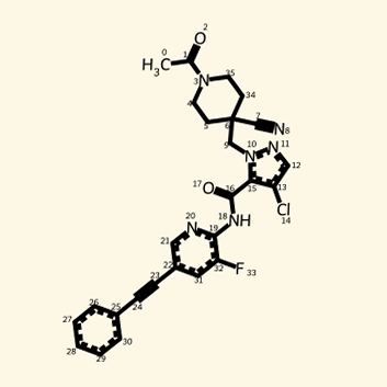 CC(=O)N1CCC(C#N)(Cn2ncc(Cl)c2C(=O)Nc2ncc(C#Cc3ccccc3)cc2F)CC1